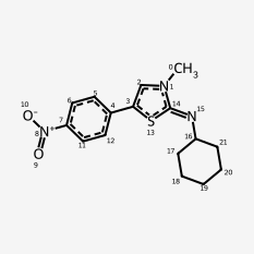 Cn1cc(-c2ccc([N+](=O)[O-])cc2)sc1=NC1CCCCC1